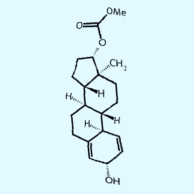 COC(=O)O[C@H]1CC[C@H]2[C@@H]3CCC4=C[C@@H](O)C=C[C@@H]4[C@H]3CC[C@]12C